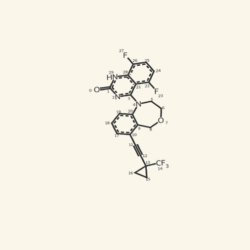 O=c1nc(N2CCOCc3c(C#CC4(C(F)(F)F)CC4)cccc32)c2c(F)ccc(F)c2[nH]1